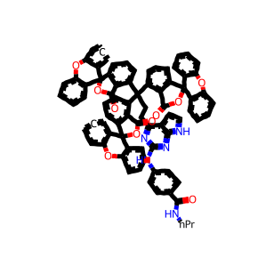 CCCNC(=O)c1ccc(Nc2nc(CCC(c3cccc4c3C(=O)OC43c4ccccc4Oc4ccccc43)(c3cccc4c3C(=O)OC43c4ccccc4Oc4ccccc43)c3cccc4c3C(=O)OC43c4ccccc4Oc4ccccc43)c3cc[nH]c3n2)cc1